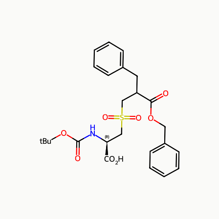 CC(C)(C)OC(=O)N[C@@H](CS(=O)(=O)CC(Cc1ccccc1)C(=O)OCc1ccccc1)C(=O)O